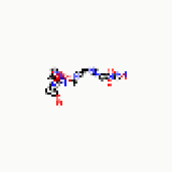 COCOc1cc(-c2ncc3c(N4CC5CCC(C4)N5C(=O)OC(C)(C)C)nc(OCC4(CN5CCC6(CC5)CC(CN5CCN(c7ccc8c(c7)C(=O)N(C7CCC(=O)NC7=O)C8=O)CC5)C6)CC4)nc3c2F)c2c(C#C[Si](C(C)C)(C(C)C)C(C)C)cccc2c1